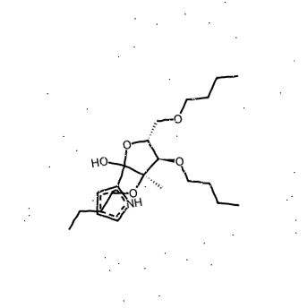 CCCCOC[C@H]1OC(O)(c2ccc[nH]2)[C@](C)(OCCCC)[C@@H]1OCCCC